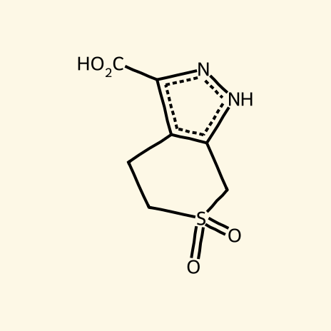 O=C(O)c1n[nH]c2c1CCS(=O)(=O)C2